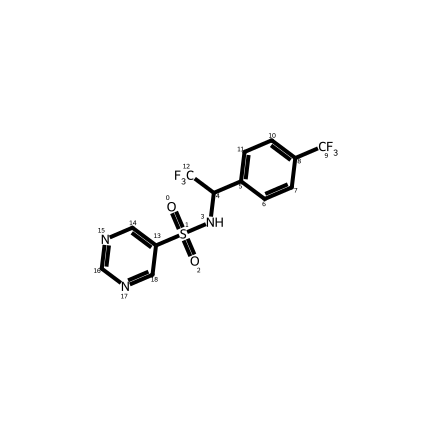 O=S(=O)(NC(c1ccc(C(F)(F)F)cc1)C(F)(F)F)c1cncnc1